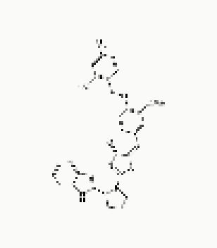 COc1cc(/C=C2/SC(N3CCCC3c3cc4ccccc4[nH]3)=NC2=O)ccc1OCc1ccc(C(F)(F)F)cc1C(F)(F)F